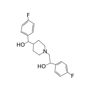 OC(CN1CCC(C(O)c2ccc(F)cc2)CC1)c1ccc(F)cc1